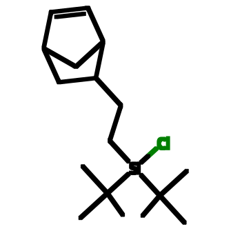 CC(C)(C)[Si](Cl)(CCC1CC2C=CC1C2)C(C)(C)C